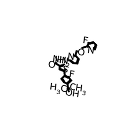 CC(C)(O)c1ccc(-c2cc(C(N)=O)c(Nc3cccc(COCc4ncccc4F)n3)s2)c(F)c1